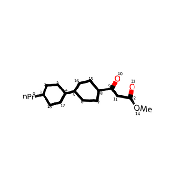 CCCC1CCC(C2CCC(C(=O)CC(=O)OC)CC2)CC1